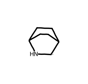 [CH]1NC2CCC1CC2